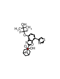 CC(C)(O)C(F)(F)Oc1ccc(-c2cscn2)c2oc(N3CC4CC(C3)N4C(=O)O)nc12